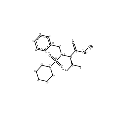 CC(C)[C@H](C(=O)NO)N(Cc1ccccc1)S(=O)(=O)N1CCCCC1